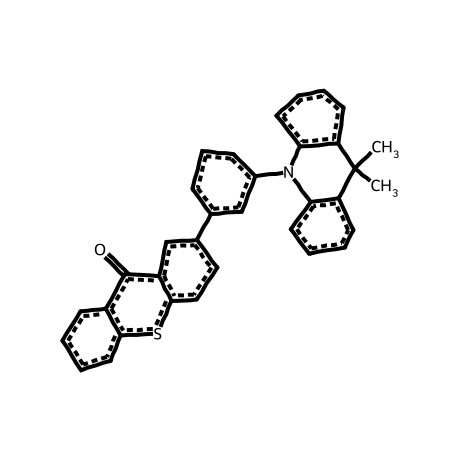 CC1(C)c2ccccc2N(c2cccc(-c3ccc4sc5ccccc5c(=O)c4c3)c2)c2ccccc21